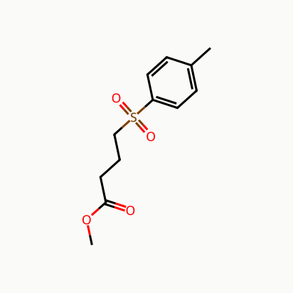 COC(=O)CCCS(=O)(=O)c1ccc(C)cc1